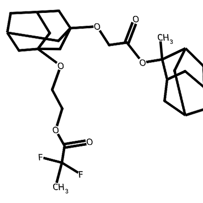 CC(F)(F)C(=O)OCCOC12CC3CC(C1)CC(OCC(=O)OC1(C)C4CC5CC(C4)CC1C5)(C3)C2